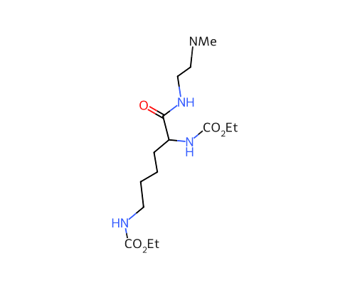 CCOC(=O)NCCCCC(NC(=O)OCC)C(=O)NCCNC